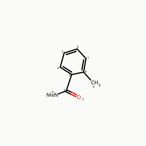 C[N]C(=O)c1ccccc1C